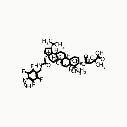 C=C(C)[C@@H]1CC[C@]2(CC(=O)NCc3c(F)c(F)c(N=N)c(F)c3F)CC[C@]3(C)[C@H](CC[C@@H]4[C@@]5(C)CC[C@H](OC(=O)CC(C)(C)C(=O)O)C(C)(C)[C@@H]5CC[C@]43C)[C@@H]12